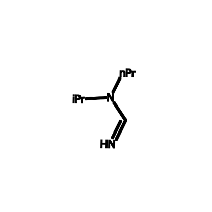 CCCN(C=N)C(C)C